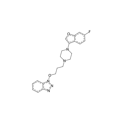 Fc1ccc2c(N3CCN(CCCOn4nnc5ccccc54)CC3)coc2c1